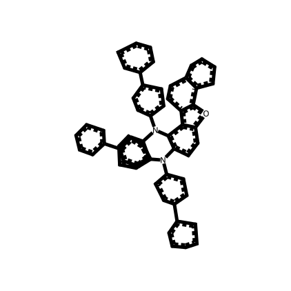 c1ccc(-c2ccc(N(c3ccccc3)c3ccc4oc5c6ccccc6ccc5c4c3N(c3ccc(-c4ccccc4)cc3)c3cccc(-c4ccccc4)c3)cc2)cc1